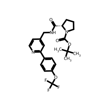 CC(C)(C)OC(=O)N1CCC[C@H]1C(=O)NCc1ccnc(-c2ccc(OC(F)(F)F)cc2)c1